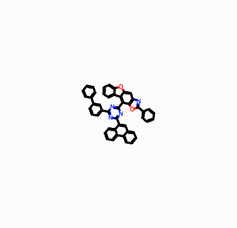 c1ccc(-c2cccc(-c3nc(-c4cc5ccccc5c5ccccc45)nc(-c4c5oc(-c6ccccc6)nc5cc5oc6ccccc6c45)n3)c2)cc1